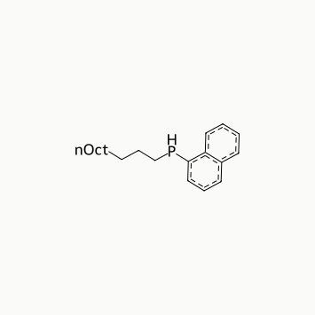 CCCCCCCCCCCPc1cccc2ccccc12